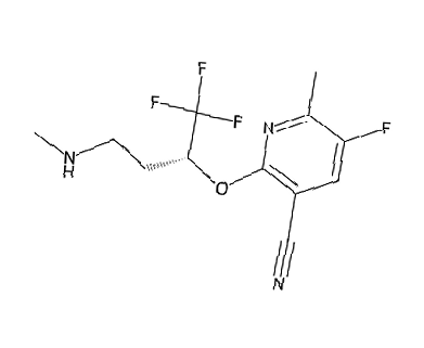 CNCC[C@@H](Oc1nc(C)c(F)cc1C#N)C(F)(F)F